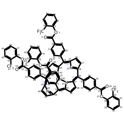 O=C(Oc1ccccc1C(F)(F)F)c1ccc(/C2=C3\C=CC(=N3)/C(c3ccc(C(=O)Oc4ccccc4C(F)(F)F)cc3)=c3/cc/c4n3Nn3c2ccc3/C(c2ccc(C(=O)Oc3ccccc3C(F)(F)F)cc2)=C2/C=CC(=N2)/C=4c2ccc(C(=O)Oc3ccccc3C(F)(F)F)cc2)cc1